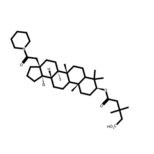 CC(C)(CC(=O)O)CC(=O)O[C@H]1CC[C@@]2(C)C(CC[C@]3(C)C2CC[C@@H]2[C@H]4CCC[C@]4(CC(=O)N4CCCCC4)CC[C@]23C)C1(C)C